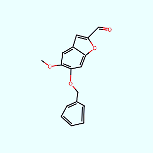 COc1cc2cc(C=O)oc2cc1OCc1ccccc1